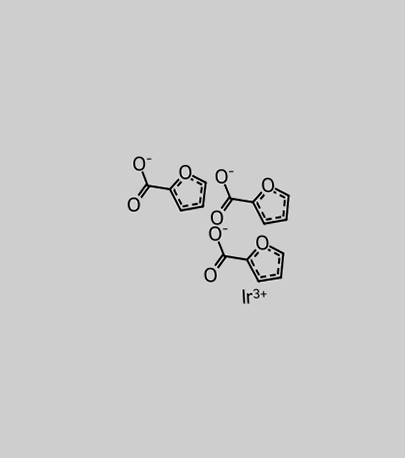 O=C([O-])c1ccco1.O=C([O-])c1ccco1.O=C([O-])c1ccco1.[Ir+3]